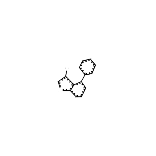 Oc1[c]sc2cccc(-c3ccccc3)c12